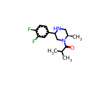 CC(C)C(=O)N1CC(c2ccc(F)c(F)c2)NC[C@H]1C